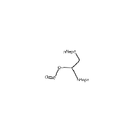 CCCCCCCCC(CCCCCCC)OP=O